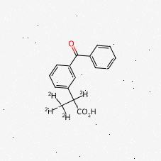 [2H]C([2H])([2H])C([2H])(C(=O)O)c1cccc(C(=O)c2ccccc2)c1